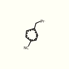 C[C](C)Cc1ccc(C#N)cc1